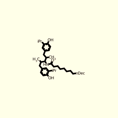 CCCCCCCCCCCCCCCCCC(=O)NC(C(C)Cc1ccc(O)c(C(C)C)c1)C(C)Cc1ccc(O)c(C(C)C)c1